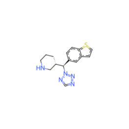 c1nnn([C@H](c2ccc3sccc3c2)[C@H]2CCCNC2)n1